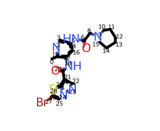 Cc1ncc(NC(=O)CN2CCCCCC2)cc1NC(=O)c1cnn2cc(Br)sc12